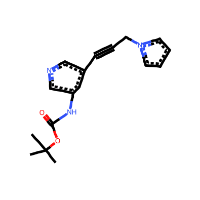 CC(C)(C)OC(=O)Nc1cncc(C#CCn2cccc2)c1